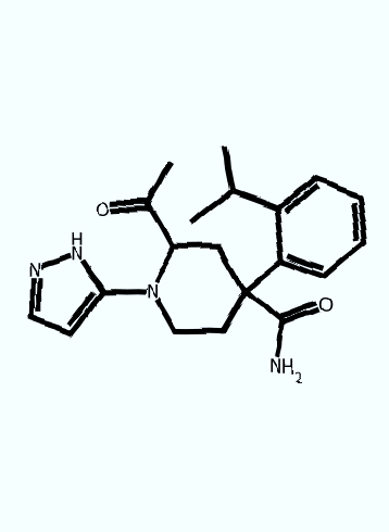 CC(=O)C1CC(C(N)=O)(c2ccccc2C(C)C)CCN1c1ccn[nH]1